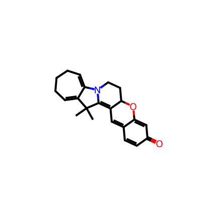 CC1(C)C2=CCCCC=C2N2CCC3OC4=CC(=O)C=CC4=CC3=C21